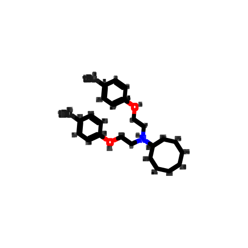 CC(C)(C)c1ccc(OCCN(CCOc2ccc(C(C)(C)C)cc2)C2CCCCCCC2)cc1